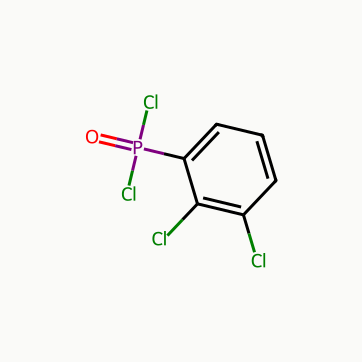 O=P(Cl)(Cl)c1cccc(Cl)c1Cl